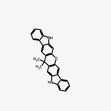 CC1(C)c2cc3[nH]c4ccccc4c3cc2Oc2cc3[nH]c4ccccc4c3cc21